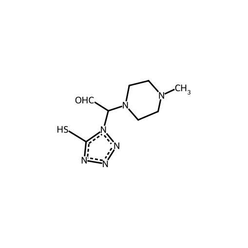 CN1CCN(C(C=O)n2nnnc2S)CC1